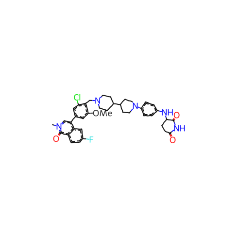 COc1cc(-c2cn(C)c(=O)c3ccc(F)cc23)cc(Cl)c1CN1CCC(C2CCN(c3ccc(NC4CCC(=O)NC4=O)cc3)CC2)CC1